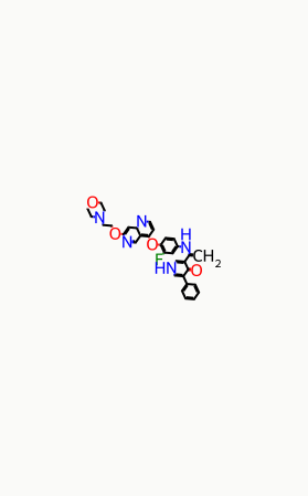 C=C(Nc1ccc(Oc2ccnc3cc(OCCN4CCOCC4)ncc23)c(F)c1)c1c[nH]cc(-c2ccccc2)c1=O